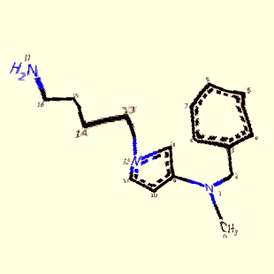 CN(Cc1ccccc1)c1ccn(CCCCN)c1